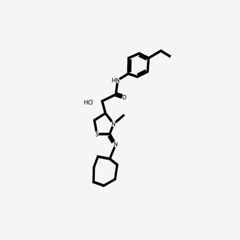 CCc1ccc(NC(=O)CC2CS/C(=N\C3CCCCCC3)N2C)cc1.Cl